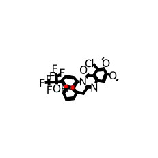 COc1cc2nc(Cc3ccccc3)n(-c3ccc(C(O)(C(F)(F)F)C(F)(F)F)cc3)c(=O)c2c(Cl)c1OC